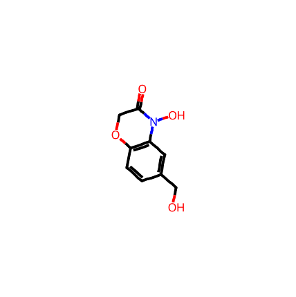 O=C1COc2ccc(CO)cc2N1O